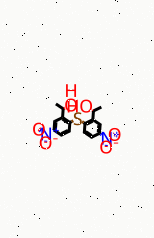 CC(O)c1cc([N+](=O)[O-])ccc1Sc1ccc([N+](=O)[O-])cc1C(C)O